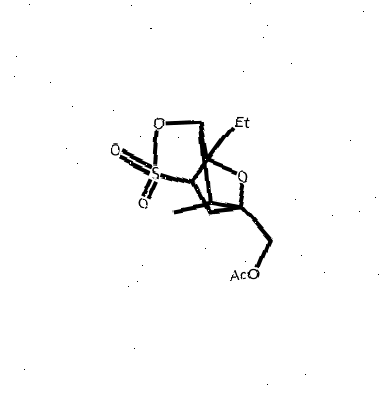 CCC12OC3(COC(C)=O)CC1S(=O)(=O)OC2C3C